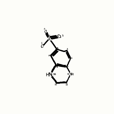 O=S(=O)(Cl)c1ccc2c(c1)NCCN2